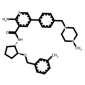 Cc1cccc(CO[C@H]2CCC[C@@H]2NC(=O)c2cc(-c3ccc(CN4CCN(C)CC4)cc3)cnc2N)c1